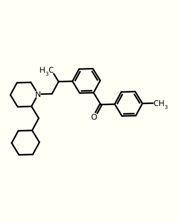 Cc1ccc(C(=O)c2cccc(C(C)CN3CCCCC3CC3CCCCC3)c2)cc1